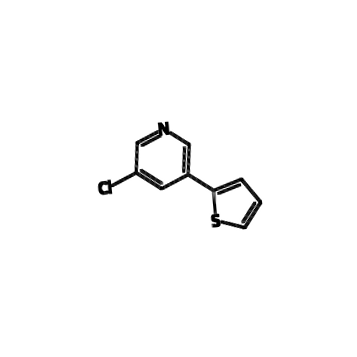 Clc1cncc(-c2cccs2)c1